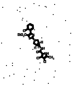 CCOC(=O)c1sc(N2C[C@@H]3[C@H](C2)[C@@H]3NC(=O)c2[nH]c(C)c(Cl)c2Cl)nc1-c1ccccc1Cl